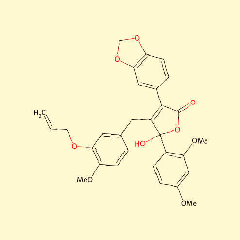 C=CCOc1cc(CC2=C(c3ccc4c(c3)OCO4)C(=O)OC2(O)c2ccc(OC)cc2OC)ccc1OC